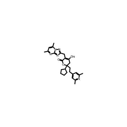 Cc1cc(CCC2(C3CCCC3)CC(O)=C(Cc3nc4nc(C)cc(C)n4n3)C(=O)O2)cc(C)n1